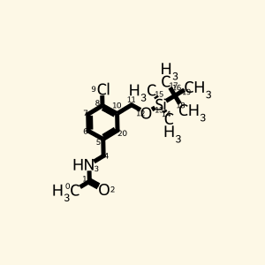 CC(=O)NCc1ccc(Cl)c(CO[Si](C)(C)C(C)(C)C)c1